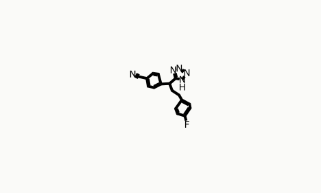 N#Cc1ccc(C(CCc2ccc(F)cc2)c2nnn[nH]2)cc1